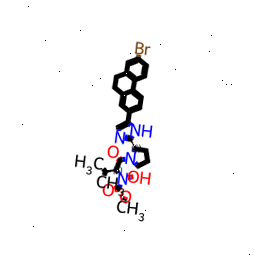 COC(=O)N(O)[C@H](C(=O)N1CCC[C@H]1c1ncc(-c2ccc3c(c2)CCc2cc(Br)ccc2-3)[nH]1)C(C)C